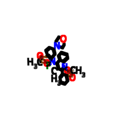 Cc1c(-c2ccccc2S(C)(=O)=O)nc2ccccc2c1N(F)c1cc(N2CCOCC2)ccc1S(C)(=O)=O